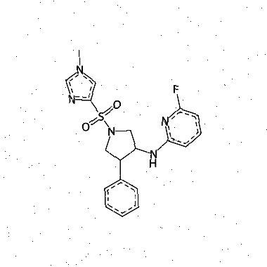 Cn1cnc(S(=O)(=O)N2CC(Nc3cccc(F)n3)C(c3ccccc3)C2)c1